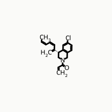 C=CC(=O)N1Cc2ccc(Cl)cc2[C@@H](C(=C)/C=C\C=C/C)C1